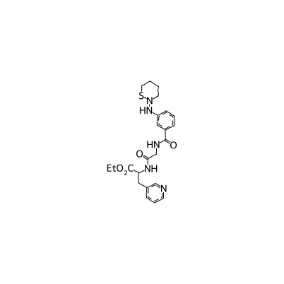 CCOC(=O)C(Cc1cccnc1)NC(=O)CNC(=O)c1cccc(NN2CCCCS2)c1